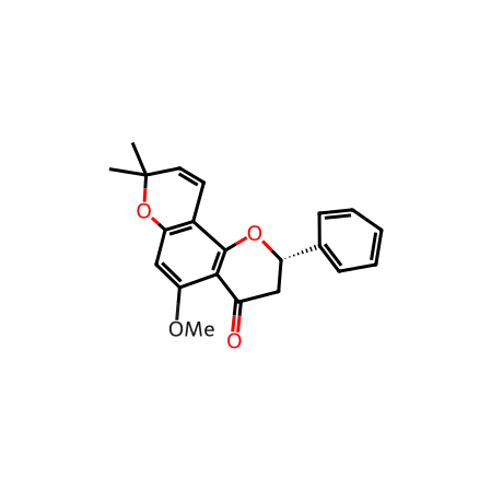 COc1cc2c(c3c1C(=O)C[C@@H](c1ccccc1)O3)C=CC(C)(C)O2